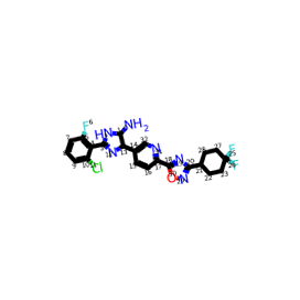 NC1NC(c2c(F)cccc2Cl)=NC1c1ccc(-c2nc(C3CCC(F)(F)CC3)no2)nc1